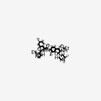 CCC(=O)N[C@@H](C(O)N1CCN(C)[C@H](C)C1)[C@@H](C)c1ccc(NC(=O)[C@@H](NC(=O)c2ccnn2CC)[C@H]2CC[C@H](C)CC2)c(F)c1